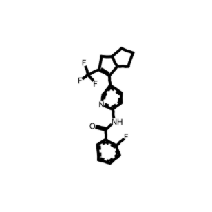 O=C(Nc1ccc(C2=C(C(F)(F)F)CC3CCCC23)cn1)c1ccccc1F